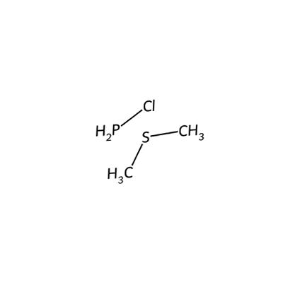 CSC.PCl